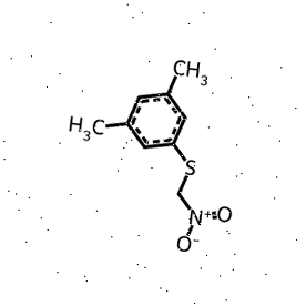 Cc1cc(C)cc(SC[N+](=O)[O-])c1